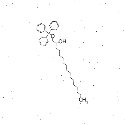 CCCCCCCCCCCCCCC[C@@H](O)COC(c1ccccc1)(c1ccccc1)c1ccccc1